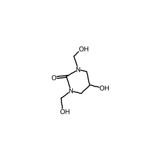 O=C1N(CO)CC(O)CN1CO